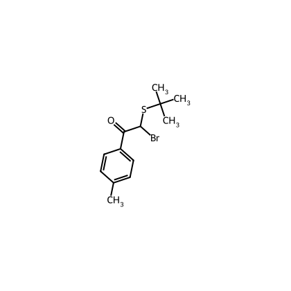 Cc1ccc(C(=O)C(Br)SC(C)(C)C)cc1